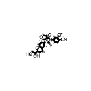 N#Cc1ccc(N2C(=O)C3(CCOC3)N(c3ccc4c(c3)CCC(C(O)CO)O4)C2=S)cc1C(F)(F)F